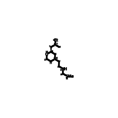 CCN(C)C[C@H]1CN(CCNCSC)CCO1